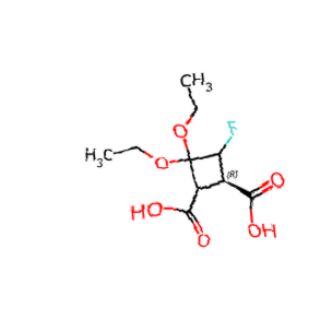 CCOC1(OCC)C(F)[C@@H](C(=O)O)C1C(=O)O